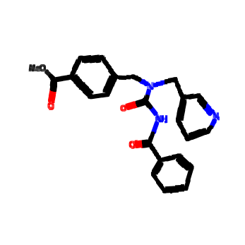 COC(=O)c1ccc(CN(Cc2cccnc2)C(=O)NC(=O)c2ccccc2)cc1